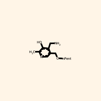 CCCCCOCc1cnc(C)c(O)c1CN